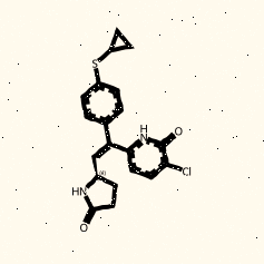 O=C1CC[C@H](C=C(c2ccc(SC3CC3)cc2)c2ccc(Cl)c(=O)[nH]2)N1